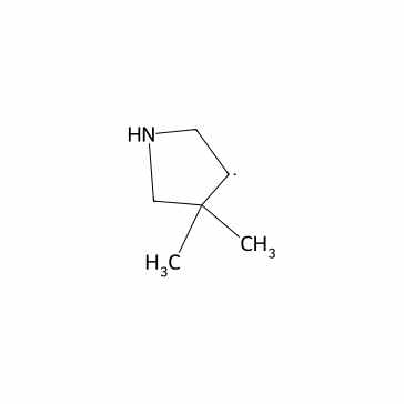 CC1(C)[CH]CNC1